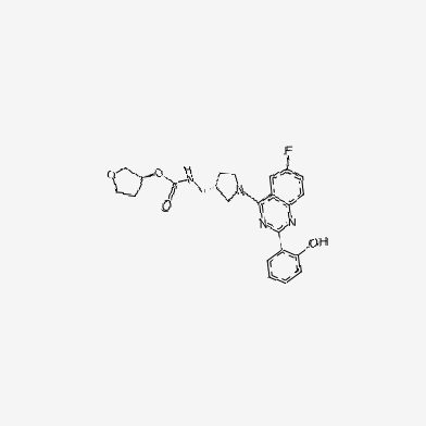 O=C(NC[C@@H]1CCN(c2nc(-c3ccccc3O)nc3ccc(F)cc23)C1)O[C@H]1CCOC1